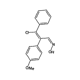 COc1ccc(C(/C=N\O)=C(\Cl)c2ccccc2)cc1